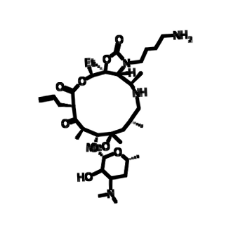 C=CC[C@H]1C(=O)O[C@@H](CC)[C@@]2(C)OC(=O)N(CCCCN)[C@@H]2[C@@H](C)NC[C@H](C)C[C@@](C)(OC)[C@H](O[C@@H]2O[C@H](C)CC(N(C)C)C2O)[C@@H](C)C1=O